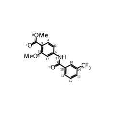 COC(=O)c1ccc(NC(=O)c2cccc(C(F)(F)F)c2)cc1OC